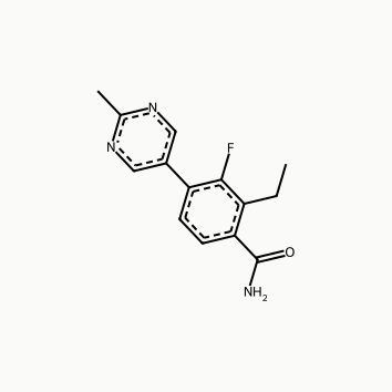 CCc1c(C(N)=O)ccc(-c2cnc(C)nc2)c1F